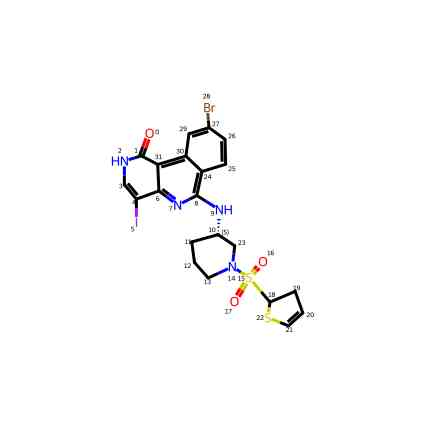 O=c1[nH]cc(I)c2nc(N[C@H]3CCCN(S(=O)(=O)C4CC=CS4)C3)c3ccc(Br)cc3c12